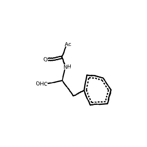 CC(=O)C(=O)NC(C=O)Cc1ccccc1